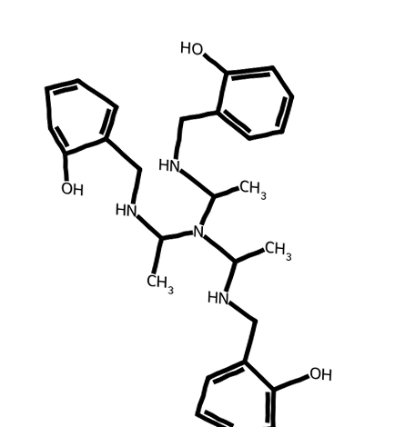 CC(NCc1ccccc1O)N(C(C)NCc1ccccc1O)C(C)NCc1ccccc1O